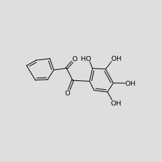 O=C(C(=O)c1cc(O)c(O)c(O)c1O)c1ccccc1